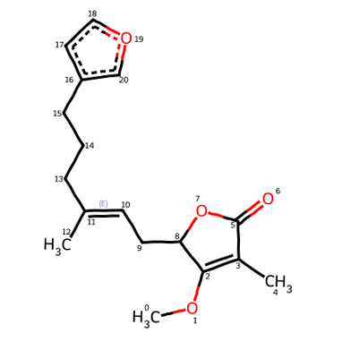 COC1=C(C)C(=O)OC1C/C=C(\C)CCCc1ccoc1